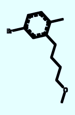 COCCCCc1cc(Br)ccc1C